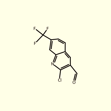 O=Cc1cc2ccc(C(F)(F)F)cc2nc1Cl